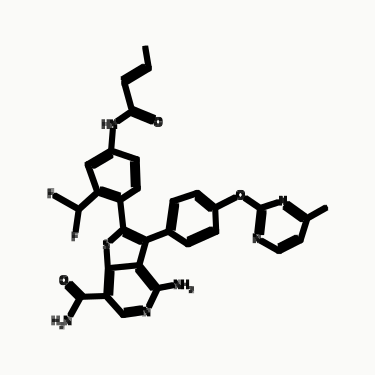 CC=CC(=O)Nc1ccc(-c2sc3c(C(N)=O)cnc(N)c3c2-c2ccc(Oc3nccc(C)n3)cc2)c(C(F)F)c1